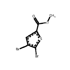 COC(=O)c1cc(Br)c(Br)s1